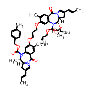 C=CCOC(=O)N1c2cc(OCCCOc3cc4c(cc3OC)C(=O)N3C=C(/C=C/C)C[C@H]3[C@H](C)N4C(=O)OCc3ccc(C)cc3)c(C)cc2C(=O)N2C=C(/C=C/C)C[C@H]2[C@@H]1O[Si](C)(C)C(C)(C)C